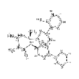 CN1C(=N)N[C@](C)(c2ccnc(-c3cccnc3F)c2)[C@@H](c2ccc(-c3ccccc3)cc2)C1=O